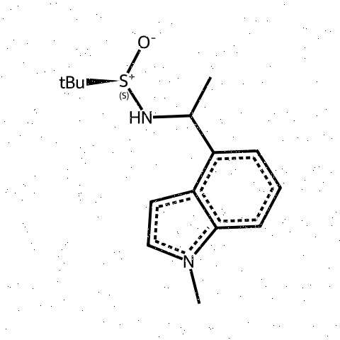 CC(N[S@+]([O-])C(C)(C)C)c1cccc2c1ccn2C